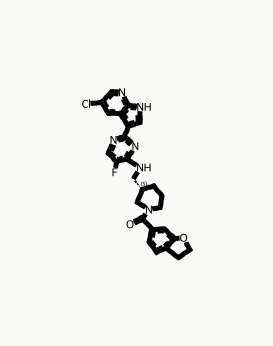 O=C(c1ccc2c(c1)OCC2)N1CCC[C@@H](CNc2nc(-c3c[nH]c4ncc(Cl)cc34)ncc2F)C1